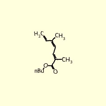 C=CC(C)=CC=C(C)C(=O)OCCCC